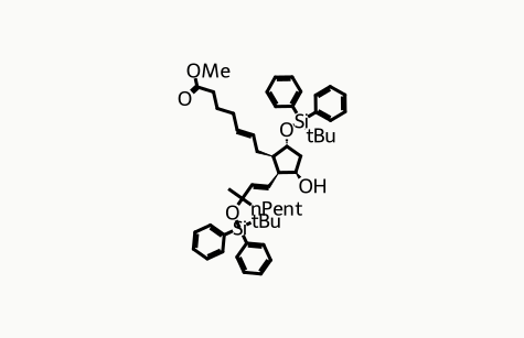 CCCCCC(C)(C=C[C@H]1[C@@H](CC=CCCCC(=O)OC)[C@H](O[Si](c2ccccc2)(c2ccccc2)C(C)(C)C)C[C@H]1O)O[Si](c1ccccc1)(c1ccccc1)C(C)(C)C